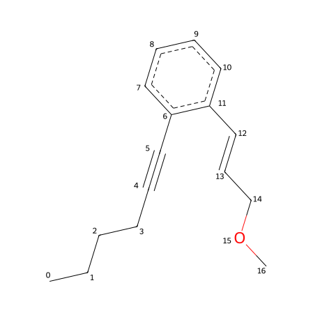 CCCCC#Cc1ccccc1/C=C/COC